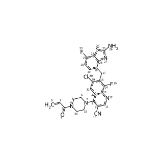 C=CC(=O)N1CCN(c2c(C#N)cnc3c(F)c(Cc4ccc(F)c5sc(N)nc45)c(Cl)cc23)CC1